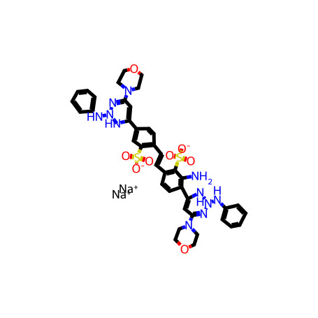 Nc1c(C2=CC(N3CCOCC3)=NN(Nc3ccccc3)N2)ccc(C=Cc2ccc(C3=CC(N4CCOCC4)=NN(Nc4ccccc4)N3)cc2S(=O)(=O)[O-])c1S(=O)(=O)[O-].[Na+].[Na+]